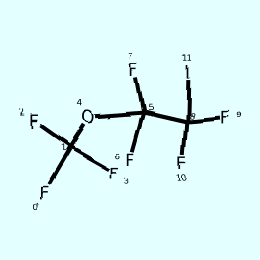 FC(F)(F)OC(F)(F)C(F)(F)I